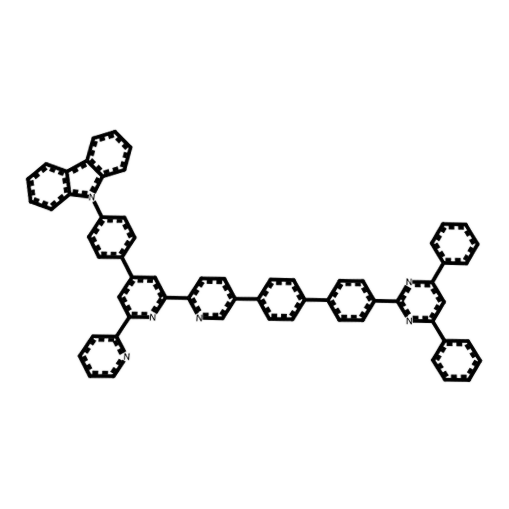 c1ccc(-c2cc(-c3ccccc3)nc(-c3ccc(-c4ccc(-c5ccc(-c6cc(-c7ccc(-n8c9ccccc9c9ccccc98)cc7)cc(-c7ccccn7)n6)nc5)cc4)cc3)n2)cc1